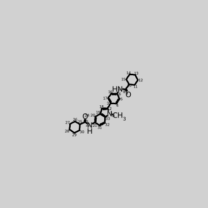 Cn1c(-c2ccc(NC(=O)C3CCCCC3)cc2)cc2cc(NC(=O)C3CCCCC3)ccc21